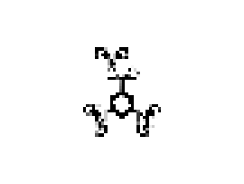 O=C(O[N+](=O)[O-])c1cc([N+](=O)[O-])cc([N+](=O)[O-])c1